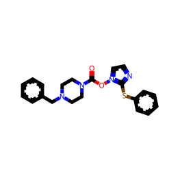 O=C(On1ccnc1Sc1ccccc1)N1CCN(Cc2ccccc2)CC1